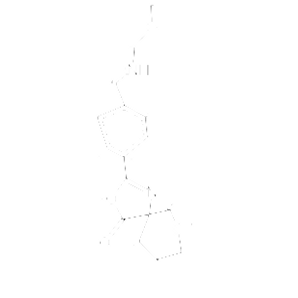 COCNCc1ccc(C2=NC3(CCCCC3)C(=O)O2)cc1